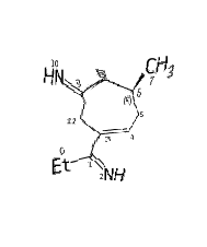 CCC(=N)C1=CC[C@H](C)CC(=N)C1